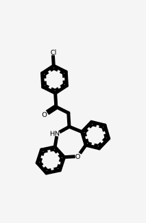 O=C(CC1Nc2ccccc2Oc2ccccc21)c1ccc(Cl)cc1